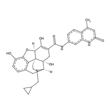 Cc1cc(=O)[nH]c2cc(NC(=O)C3=C(O)[C@@H]4Oc5c(O)ccc6c5[C@@]45CCN(CC4CC4)[C@H](C6)[C@]5(O)C3)ccc12